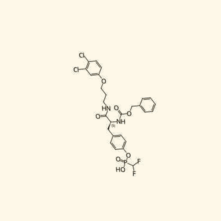 O=C(N[C@@H](Cc1ccc(OP(=O)(O)C(F)F)cc1)C(=O)NCCCOc1ccc(Cl)c(Cl)c1)OCc1ccccc1